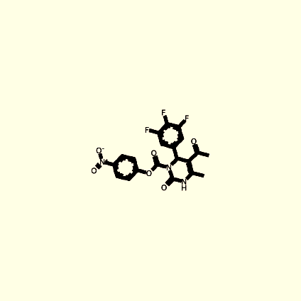 CC(=O)C1=C(C)NC(=O)N(C(=O)Oc2ccc([N+](=O)[O-])cc2)C1c1cc(F)c(F)c(F)c1